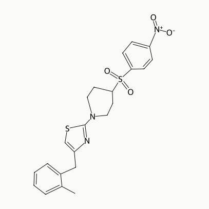 Cc1ccccc1Cc1csc(N2CCC(S(=O)(=O)c3ccc([N+](=O)[O-])cc3)CC2)n1